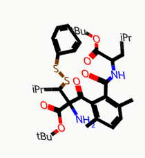 Cc1ccc(C)c(C(=O)C(N)(C(=O)OC(C)(C)C)C(SSc2ccccc2)C(C)C)c1C(=O)NC(CC(C)C)C(=O)OC(C)(C)C